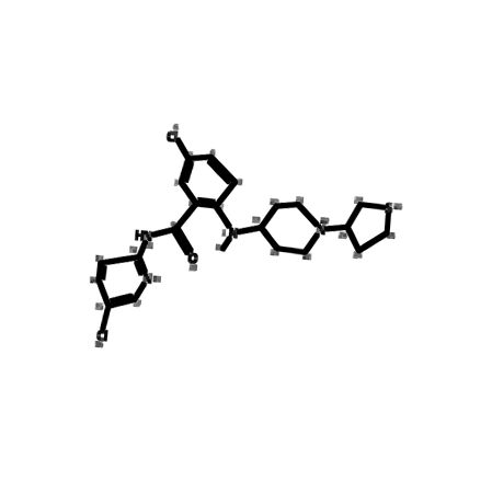 CN(c1ccc(Cl)cc1C(=O)Nc1ccc(Cl)cn1)C1CCN(C2CCSC2)CC1